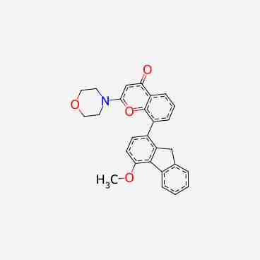 COc1ccc(-c2cccc3c(=O)cc(N4CCOCC4)oc23)c2c1-c1ccccc1C2